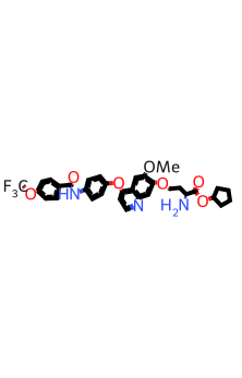 COc1cc2c(Oc3ccc(NC(=O)c4ccc(OC(F)(F)F)cc4)cc3)ccnc2cc1OCC[C@H](N)C(=O)OC1CCCC1